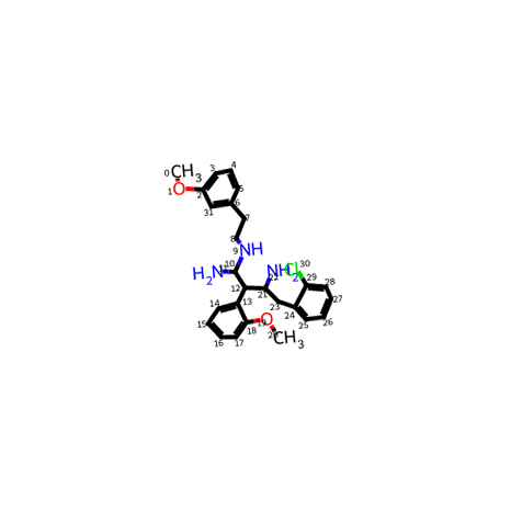 COc1cccc(CCNC(N)C(c2ccccc2OC)C(N)Cc2ccccc2Cl)c1